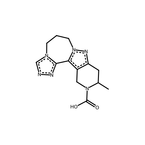 CC1Cc2nn3c(c2CN1C(=O)O)-c1nncn1CCC3